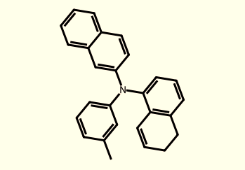 Cc1cccc(N(c2ccc3ccccc3c2)c2cccc3c2C=CCC3)c1